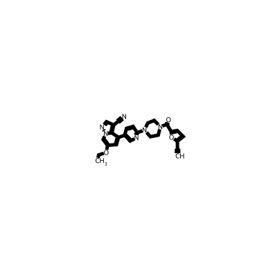 C#Cc1ccc(C(=O)N2CCN(c3ccc(-c4cc(OCC)cn5ncc(C#N)c45)cn3)CC2)o1